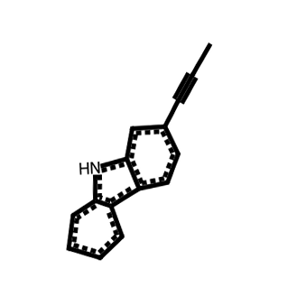 CC#Cc1ccc2c(c1)[nH]c1ccccc12